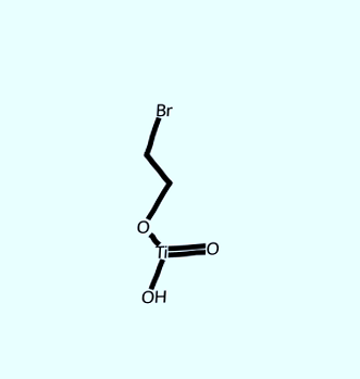 [O]=[Ti]([OH])[O]CCBr